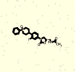 CC(=O)NC[C@H]1CN(c2ccc(C3CCP(=O)(c4ccccc4)CC3)c(F)c2)C(=O)O1